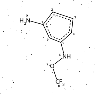 Nc1cccc(NOC(F)(F)F)c1